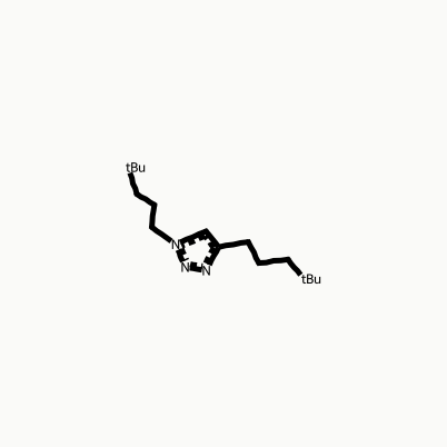 CC(C)(C)CCCc1cn(CCCC(C)(C)C)nn1